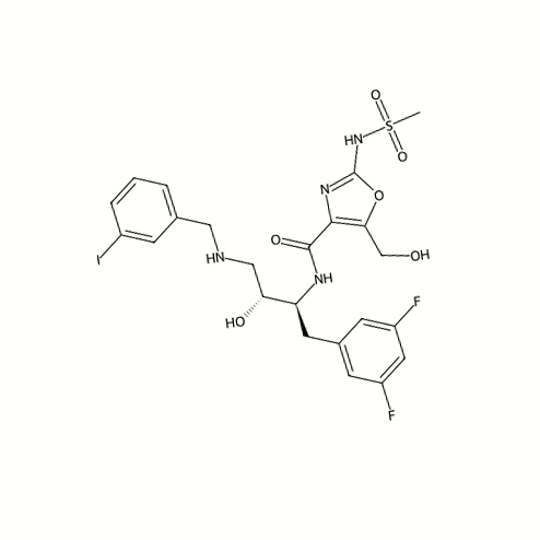 CS(=O)(=O)Nc1nc(C(=O)N[C@@H](Cc2cc(F)cc(F)c2)[C@H](O)CNCc2cccc(I)c2)c(CO)o1